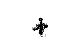 Bc1ncccc1CN1C[C@H](NC(=O)NCc2ccccc2)N(C(=O)CNCC=C)[C@@H](Cc2ccc(O)cc2)C1=O